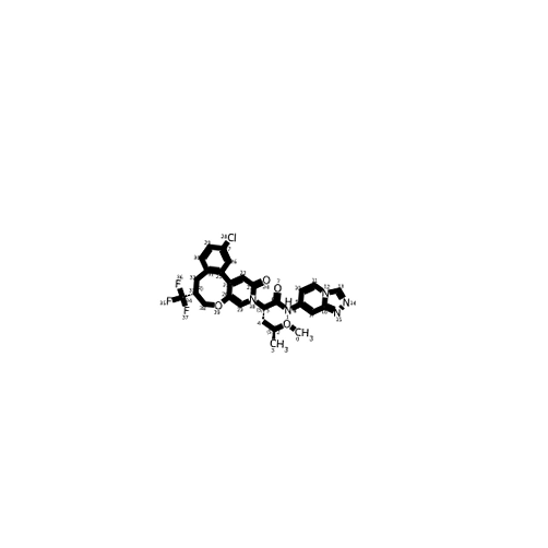 CO[C@@H](C)C[C@@H](C(=O)Nc1ccn2cnnc2c1)n1cc2c(cc1=O)-c1cc(Cl)ccc1C[C@@H](C(F)(F)F)CO2